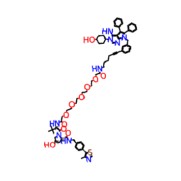 Cc1ncsc1-c1ccc(CNC(=O)[C@@H]2C[C@@H](O)CN2C(=O)[C@@H](NC(=O)COCCOCCOCCOCCOCC(=O)NCCCCC#Cc2cccc(Cn3c(-c4ccccc4)c(-c4ccccc4)c4c(=N)n(C5CCC(O)CC5)cnc43)c2)C(C)(C)C)cc1